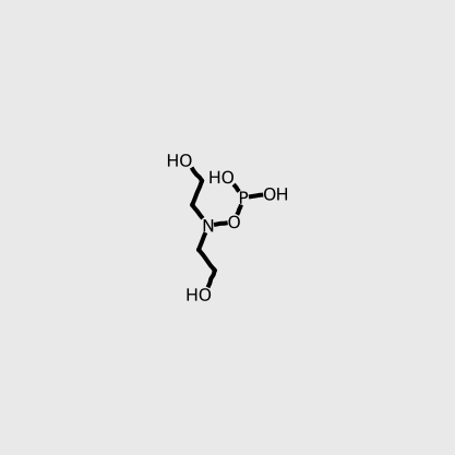 OCCN(CCO)OP(O)O